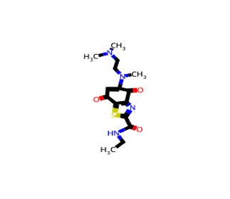 CCNC(=O)c1nc2c(s1)C(=O)C=C(N(C)CCN(C)C)C2=O